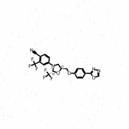 N#Cc1ccc(N2C[C@@H](COc3ccc(-c4nnco4)cc3)O[C@@H]2C(F)(F)F)cc1C(F)(F)F